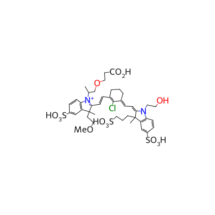 COCCC1(C)C(/C=C/C2=C(Cl)C(=C/C=C3/N(CCO)c4ccc(S(=O)(=O)O)cc4C3(C)CCCS(=O)(=O)O)/CCC2)=[N+](C(C)COCCC(=O)O)c2ccc(S(=O)(=O)O)cc21